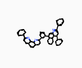 c1ccc(-c2cc(-c3ccccc3)c3c(cc(-c4cccc(-c5ccc6ccc7ccc(-c8ccccc8)nc7c6n5)c4)c4ccccc43)n2)cc1